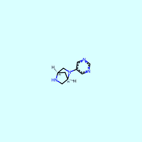 c1ncc(N2C[C@H]3C[C@@H]2CN3)cn1